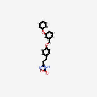 O=c1[nH]c(CCc2ccc(OCc3cccc(Oc4ccccc4)c3)cc2)no1